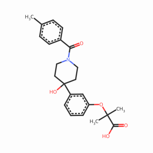 Cc1ccc(C(=O)N2CCC(O)(c3cccc(OC(C)(C)C(=O)O)c3)CC2)cc1